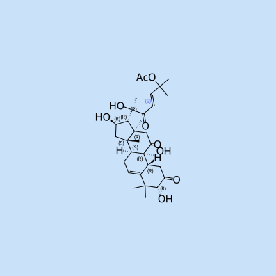 CC(=O)OC(C)(C)/C=C/C(=O)[C@](C)(O)[C@H]1[C@H](O)C[C@@]2(C)[C@@H]3CC=C4[C@@H](CC(=O)[C@H](O)C4(C)C)[C@]3(CO)C(=O)C[C@]12C